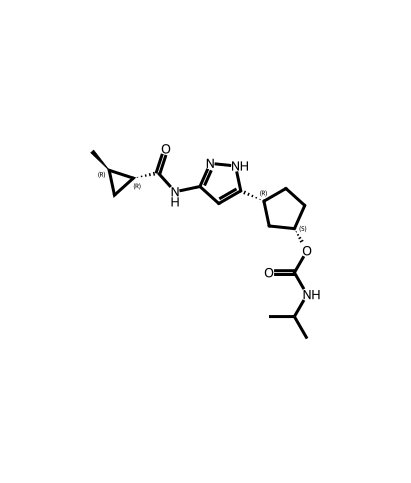 CC(C)NC(=O)O[C@H]1CC[C@@H](c2cc(NC(=O)[C@@H]3C[C@H]3C)n[nH]2)C1